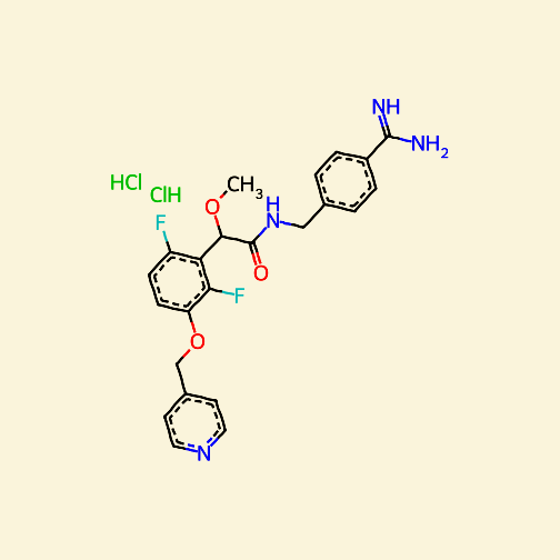 COC(C(=O)NCc1ccc(C(=N)N)cc1)c1c(F)ccc(OCc2ccncc2)c1F.Cl.Cl